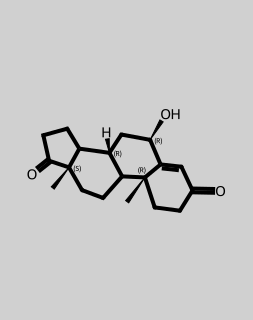 C[C@]12CCC(=O)C=C1[C@H](O)C[C@@H]1C2CC[C@]2(C)C(=O)CCC12